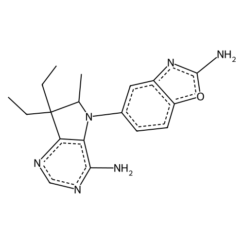 CCC1(CC)c2ncnc(N)c2N(c2ccc3oc(N)nc3c2)C1C